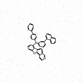 c1ccc(-c2ccc(N(c3cccc(-c4cccc5ccccc45)c3)c3cccc4oc5c6ccncc6ccc5c34)cc2)cc1